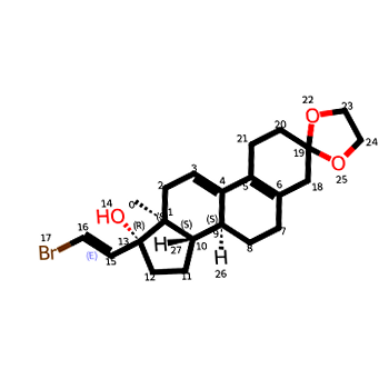 C[C@]12CC=C3C4=C(CC[C@H]3[C@@H]1CC[C@@]2(O)/C=C/Br)CC1(CC4)OCCO1